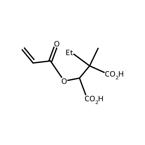 C=CC(=O)OC(C(=O)O)C(C)(CC)C(=O)O